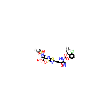 CC(OC(=O)Nc1cnoc1C#Cc1nc2sc(C3(C(=O)O)CN(S(C)(=O)=O)C3)nc2s1)c1ccccc1Cl